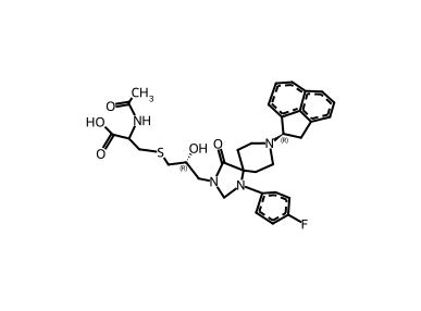 CC(=O)NC(CSC[C@H](O)CN1CN(c2ccc(F)cc2)C2(CCN([C@@H]3Cc4cccc5cccc3c45)CC2)C1=O)C(=O)O